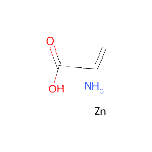 C=CC(=O)O.N.[Zn]